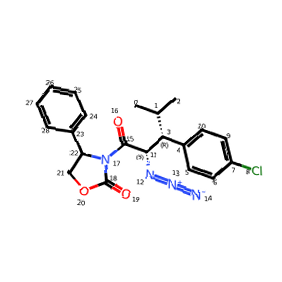 CC(C)[C@H](c1ccc(Cl)cc1)[C@H](N=[N+]=[N-])C(=O)N1C(=O)OCC1c1ccccc1